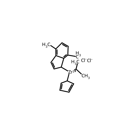 C[C](C)=[Zr+2]([CH]1C=CC=C1)[CH]1C=Cc2c(C)ccc(C)c21.[Cl-].[Cl-]